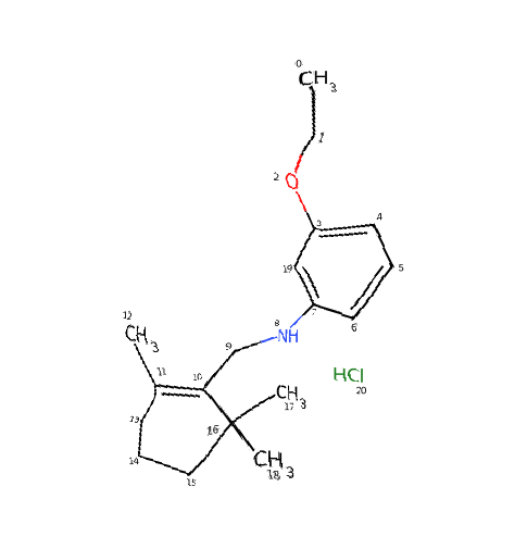 CCOc1cccc(NCC2=C(C)CCCC2(C)C)c1.Cl